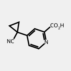 N#CC1(c2ccnc(C(=O)O)c2)CC1